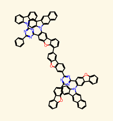 c1ccc(-c2nc(-c3cc4oc5c(-c6ccc7oc8cc(-c9nc(-c%10ccc%11c(c%10)oc%10ccccc%10%11)nc(-c%10cc%11oc%12ccccc%12c%11cc%10-n%10c%11ccccc%11c%11cc%12ccccc%12cc%11%10)n9)ccc8c7c6)cccc5c4cc3-n3c4ccccc4c4cc5ccccc5cc43)nc(-n3c4ccccc4c4ccccc43)n2)cc1